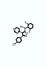 CC(=O)N(c1onc(-c2ccc(Cl)cc2)c1-c1ccncn1)c1c(F)cccc1F